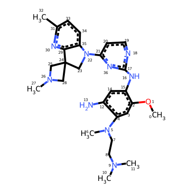 COc1cc(N(C)CCN(C)C)c(N)cc1Nc1nccc(N2CC3(CN(C)C3)c3nc(C)ccc32)n1